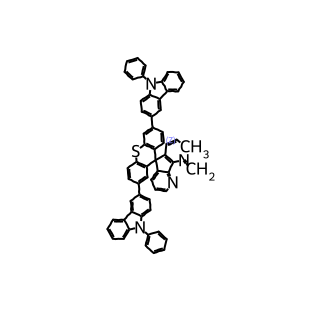 C=NC1=C(/C=C\C)C2(c3ccc(-c4ccc5c(c4)c4ccccc4n5-c4ccccc4)cc3Sc3ccc(-c4ccc5c(c4)c4ccccc4n5-c4ccccc4)cc32)c2cccnc21